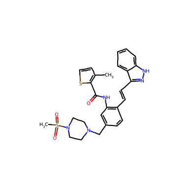 Cc1ccsc1C(=O)Nc1cc(CN2CCN(S(C)(=O)=O)CC2)ccc1C=Cc1n[nH]c2ccccc12